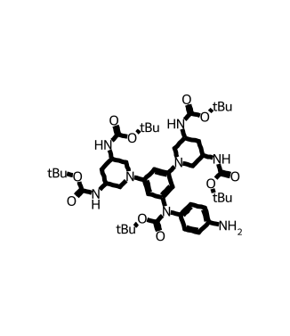 CC(C)(C)OC(=O)NC1CC(NC(=O)OC(C)(C)C)CN(c2cc(N3CC(NC(=O)OC(C)(C)C)CC(NC(=O)OC(C)(C)C)C3)cc(N(C(=O)OC(C)(C)C)c3ccc(N)cc3)c2)C1